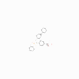 O=S(=O)(c1ccccc1)C(Cc1ccc(-c2ccccc2)cc1)c1ccc(C(O)(C(F)(F)F)C(F)(F)F)cc1